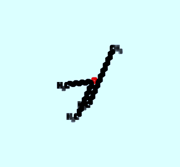 CCCCCCCCCCCCC(CCCCCCCC)OC(CCCCCCCC)CCCCCCCCCCCC